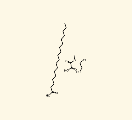 CCCCCCCCCCCCCCCCCC(=O)O.COC(=O)C(=O)O.OCCO